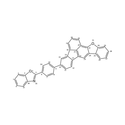 c1ccc2oc(-c3ccc(-c4ccc5c(c4)-c4cccc6c4c-5cc4c5ccccc5oc64)cc3)nc2c1